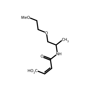 COCCOCC(C)NC(=O)/C=C\C(=O)O